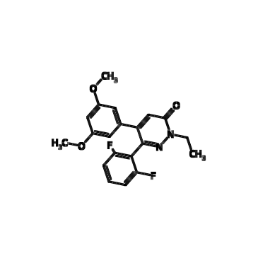 CCn1nc(-c2c(F)cccc2F)c(-c2cc(OC)cc(OC)c2)cc1=O